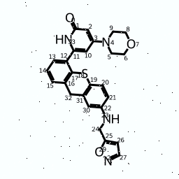 O=c1cc(N2CCOCC2)cc(-c2cccc3c2Sc2ccc(NCc4ccno4)cc2C3)[nH]1